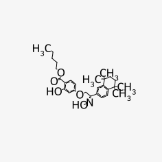 CCCCCOC(=O)c1ccc(OCC(=NO)c2ccc3c(c2)C(C)(C)CCC3(C)C)cc1O